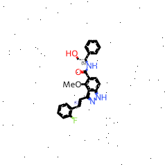 COc1c(C(=O)N[C@H](CO)c2ccccc2)ccc2[nH]nc(/C=C/c3ccccc3F)c12